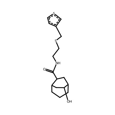 O=C(NCCSCc1ccsc1)C1CC2CCCC1CC2O